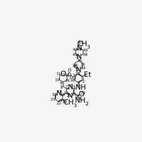 CCc1cc(Nc2nc(CC3CCOC4(CC4)C3)c(-c3ncccc3C)nc2C(N)=O)ccc1N1CCC(N2CCN(C)CC2)CC1